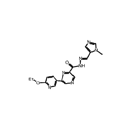 CCOc1ccc(-c2cncc(C(=O)N/N=C/c3cncn3C)n2)cn1